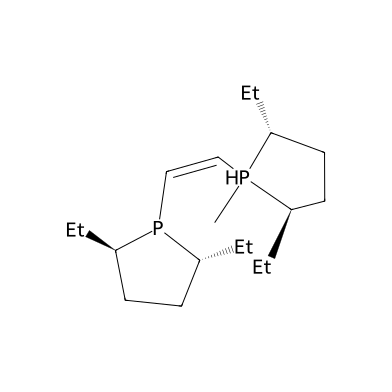 CC[C@@H]1CC[C@@H](CC)P1/C=C\[PH]1(C)[C@H](CC)CC[C@H]1CC